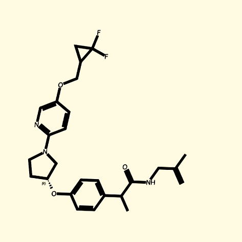 C=C(C)CNC(=O)C(C)c1ccc(O[C@@H]2CCN(c3ccc(OCC4CC4(F)F)cn3)C2)cc1